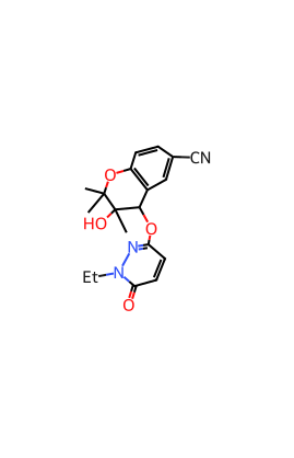 CCn1nc(OC2c3cc(C#N)ccc3OC(C)(C)C2(C)O)ccc1=O